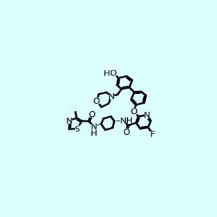 Cc1ncsc1C(=O)N[C@H]1CC[C@@H](NC(=O)c2cc(F)cnc2Oc2cccc(-c3ccc(O)cc3CN3CCOCC3)c2)CC1